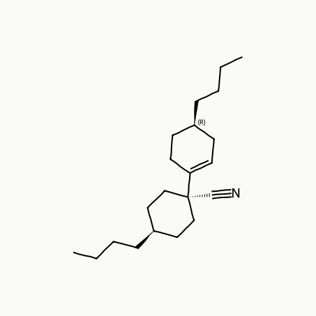 CCCC[C@H]1CC=C([C@]2(C#N)CC[C@H](CCCC)CC2)CC1